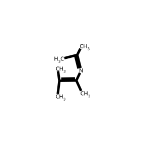 CC(C)=NC(C)=C(C)C